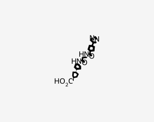 O=C(O)C[C@H]1CC[C@H](c2ccc(NC(=O)CCNC(=O)c3ccc(-c4cncnc4)cc3)cc2)CC1